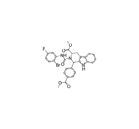 COC(=O)c1ccc(C2c3[nH]c4ccccc4c3CC(C(=O)OC)N2C(=O)Nc2cc(F)ccc2Br)cc1